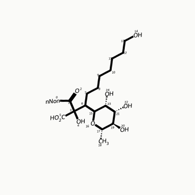 CCCCCCCCCC(=O)C(O)(C(=O)O)C(CCCCCCCO)C1O[C@@H](C)[C@H](O)[C@@H](O)[C@H]1O